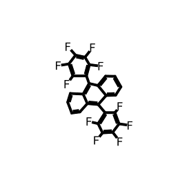 Fc1c(F)c(F)c(-c2c3ccccc3c(-c3c(F)c(F)c(F)c(F)c3F)c3ccccc23)c(F)c1F